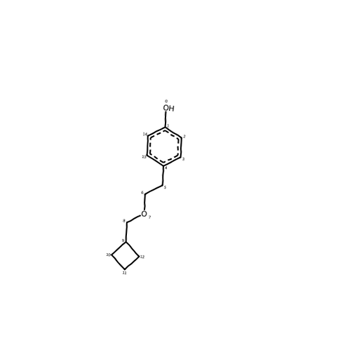 Oc1ccc(CCOCC2CCC2)cc1